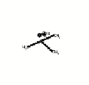 CCCCCCCCCCCCN(CCCCCCCCCCCC)CCCCCCCCCCCC.O=S(=O)(O)C=Cc1ccccc1